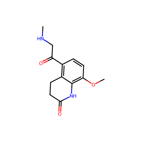 CNCC(=O)c1ccc(OC)c2c1CCC(=O)N2